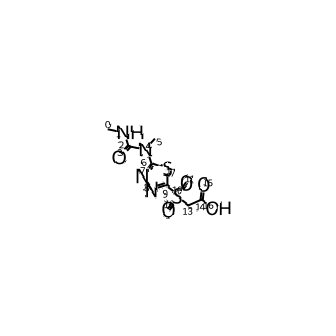 CNC(=O)N(C)c1nnc(S(=O)(=O)CC(=O)O)s1